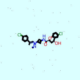 C=NN(/C=C(\C)c1ccc(Cl)cc1)C12CC(NC(=O)[C@@H]3C[C@@H](O)c4cc(Cl)ccc4O3)(C1)C2